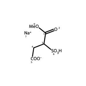 COC(=O)C(CC(=O)[O-])S(=O)(=O)O.[Na+]